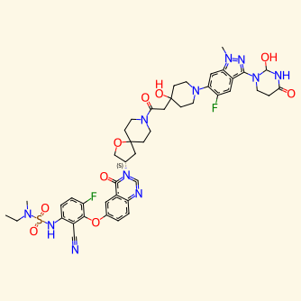 CCN(C)S(=O)(=O)Nc1ccc(F)c(Oc2ccc3ncn([C@@H]4COC5(CCN(C(=O)CC6(O)CCN(c7cc8c(cc7F)c(N7CCC(=O)NC7O)nn8C)CC6)CC5)C4)c(=O)c3c2)c1C#N